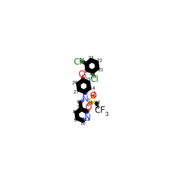 O=S(=O)(CC(F)(F)F)N(Cc1cccnc1)c1ccc(Oc2c(Cl)cccc2Cl)cc1